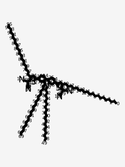 CCCCCCCCCCCCCCCCCCCCc1c/c(=c2\ccc3c(c2)[Si](CCCCCCCCCCCCCCCCCCCC)(CCCCCCCCCCCCCCCCCCCC)c2c/c(=c4/cc(CCCCCCCCCCCCCCCCCCCC)c(=C(C#N)C#N)s4)ccc2=3)sc1=C(C#N)C#N